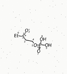 CC[S+]([O-])CCOP(=O)(O)O